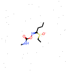 CCCC(=NOC(=O)NC)[S+]([O-])CC